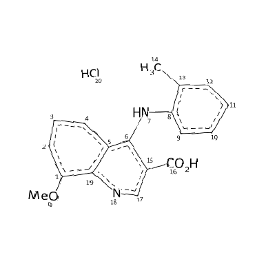 COc1cccc2c(Nc3ccccc3C)c(C(=O)O)cnc12.Cl